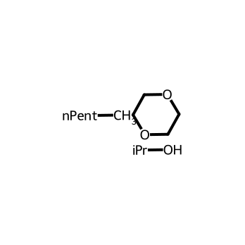 C1COCCO1.CC(C)O.CCCCCC